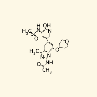 CC(=O)Nc1nc(C)c2cc(-c3cnc(O)c(N[Si](C)=O)c3)cc(OC3CCOCC3)c2n1